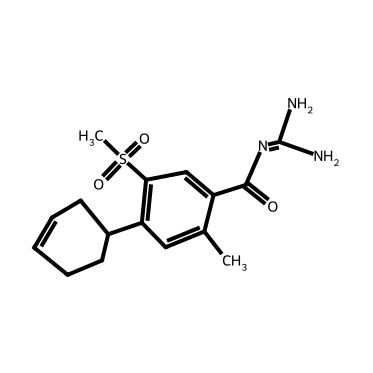 Cc1cc(C2CC=CCC2)c(S(C)(=O)=O)cc1C(=O)N=C(N)N